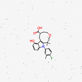 Cc1cc(-n2c3c(c4c(O)cccc42)C[C@@H](C(=O)O)CCOCC3(C)C)ccc1F